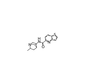 CC1CC2CCN1CC2NC(=O)c1ccc2sccc2n1